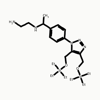 CC[Si](CC)(CC)OCc1nnn(-c2ccc(C(C)NCCN)cc2)c1CO[Si](CC)(CC)CC